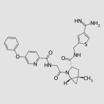 C[C@@]12C[C@@H]1N(C(=O)CNC(=O)c1ccc(Oc3ccccc3)cn1)[C@H](C(=O)NCc1cc(C(=N)N)cs1)C2